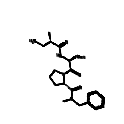 CCCCC[C@H](NC(=O)[C@H](C)CN)C(=O)N1CCC[C@H]1C(=O)N(C)Cc1ccccc1